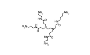 NCCCCNC(=O)CCN(CCC(=O)NCCN)CCN(CCC(=O)NCCN)CCC(=O)NCCCN